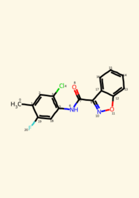 Cc1cc(Cl)c(NC(=O)c2noc3ccccc23)cc1F